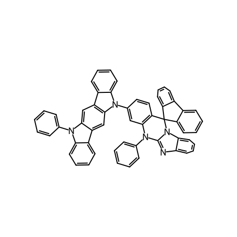 c1ccc(N2c3cc(-n4c5ccccc5c5cc6c(cc54)c4ccccc4n6-c4ccccc4)ccc3C3(c4ccccc4-c4ccccc43)n3c2nc2ccccc23)cc1